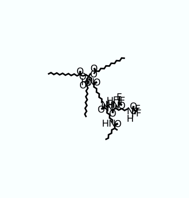 CCCCCCCCCCCC(=O)OCC(CNC(=O)CCCCCCCNC(=O)C(CCCCNC(=O)C(C)CCCCC)NC(=O)C(CCCCNC(=O)C(F)(F)F)NC(=O)C(F)(F)F)(COC(=O)CCCCCCCCCCC)COC(=O)CCCCCCCCCCC